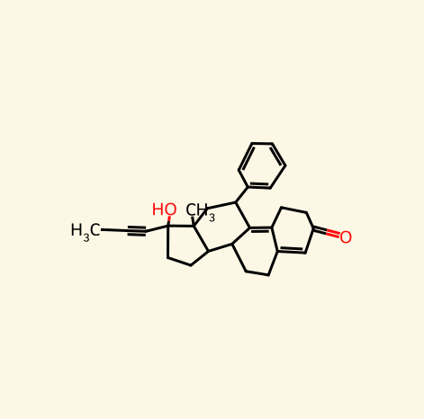 CC#CC1(O)CCC2C3CCC4=CC(=O)CCC4=C3C(c3ccccc3)CC21C